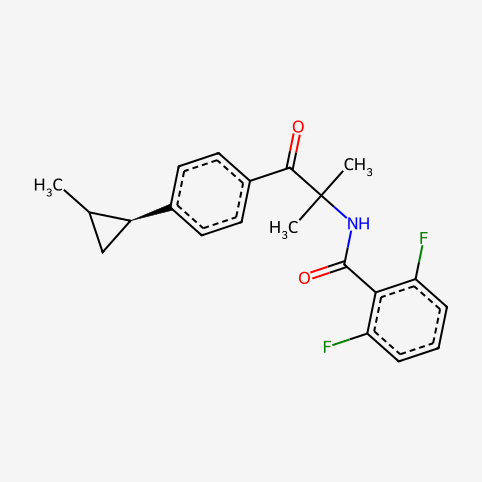 CC1C[C@@H]1c1ccc(C(=O)C(C)(C)NC(=O)c2c(F)cccc2F)cc1